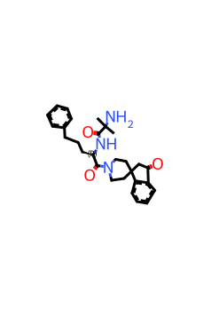 CC(C)(N)C(=O)N[C@H](CCCc1ccccc1)C(=O)N1CCC2(CC1)CC(=O)c1ccccc12